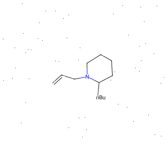 C=CCN1CCCCC1CCCC